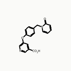 O=C(O)c1cncc(Oc2ccc(Cn3ccccc3=O)cc2)c1